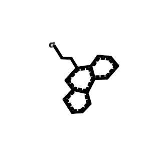 ClCCc1cc2ccccc2c2ccccc12